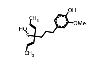 CC=CC(C=CC)(CCCc1ccc(O)c(OC)c1)SO